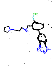 Cl.Fc1ccc(-c2ccc3[nH]nnc3c2)cc1CNCCN1CCCC1